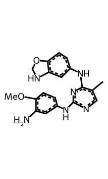 COc1ccc(Nc2ncc(C)c(Nc3ccc4c(c3)NCO4)n2)cc1N